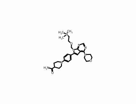 C[Si](C)(C)CCOCn1c(-c2ccc(N3CCC(C(N)=O)CC3)cc2)cc2c(N3CCOCC3)ncnc21